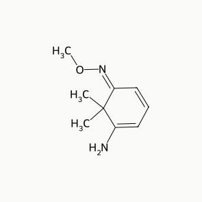 CO/N=C1/C=CC=C(N)C1(C)C